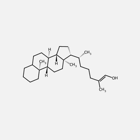 CC(=CO)CCC[C@@H](C)[C@H]1CC[C@H]2[C@@H]3CCC4CCCC[C@]4(C)[C@H]3CC[C@]12C